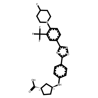 O=C(O)[C@H]1CC[C@H](Nc2ccc(-c3nc(-c4ccc(N5CCC(F)CC5)c(C(F)(F)F)c4)no3)cc2)C1